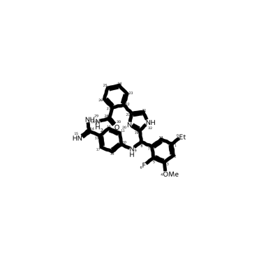 CCc1cc(OC)c(F)c(C(Nc2ccc(C(=N)N)cc2)c2nc(-c3ccccc3C(N)=O)c[nH]2)c1